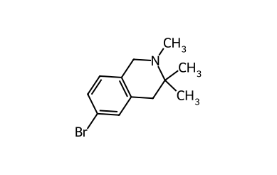 CN1Cc2ccc(Br)cc2CC1(C)C